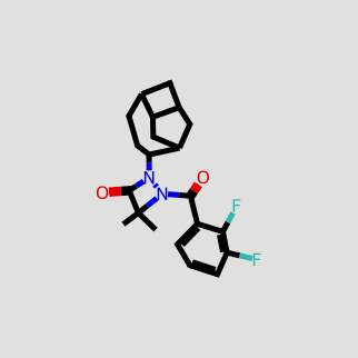 CC1(C)C(=O)N(C2CCC3CC4CC2CC34)N1C(=O)c1cccc(F)c1F